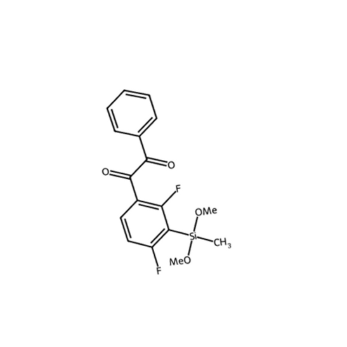 CO[Si](C)(OC)c1c(F)ccc(C(=O)C(=O)c2ccccc2)c1F